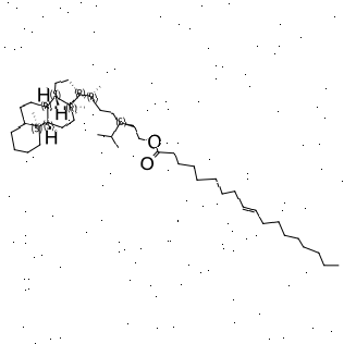 CCCCCCCCC=CCCCCCCCC(=O)OCC[C@H](CC[C@@H](C)[C@H]1CC[C@H]2[C@@H]3CCC4CCCC[C@]4(C)[C@H]3CC[C@]12C)C(C)C